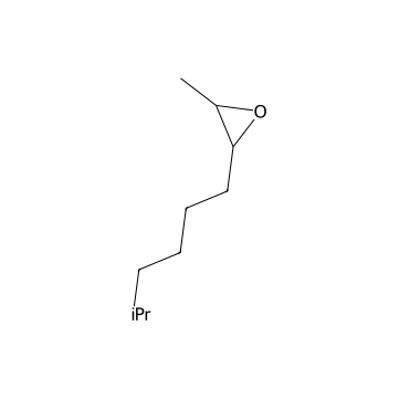 CC(C)CCCCC1OC1C